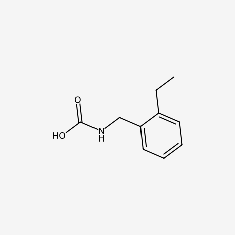 CCc1ccccc1CNC(=O)O